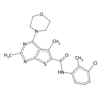 Cc1nc(N2CCOCC2)c2c(C)c(C(=O)Nc3cccc(Cl)c3C)sc2n1